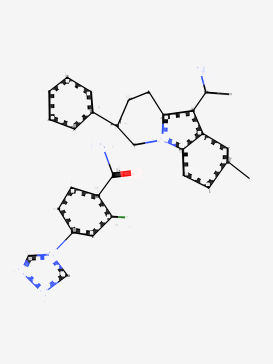 CCOC(=O)C(N)c1c2n(c3ccc(C)cc13)C[C@@](NC(=O)c1ccc(-n3cnnc3)cc1Cl)(c1ccccc1)CC2